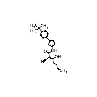 C=CCCC(O)=C(C#N)C(=O)Nc1ccc(-c2ccc(C(C)(C)C)cc2)s1